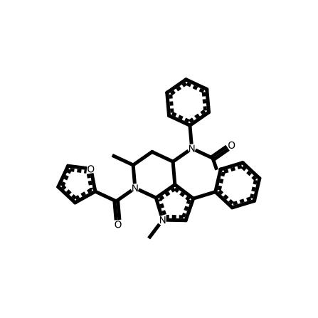 CC(=O)N(c1ccccc1)C1CC(C)N(C(=O)c2ccco2)c2c1c(-c1ccccc1)cn2C